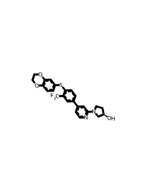 O[C@@H]1CCN(c2cc(-c3ccc(Sc4ccc5c(c4)OCCO5)c(C(F)(F)F)c3)ccn2)C1